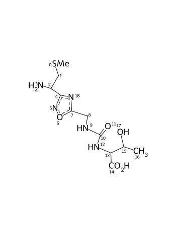 CSCC(N)c1noc(CNC(=O)NC(C(=O)O)C(C)O)n1